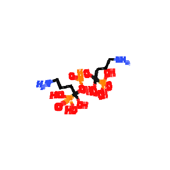 NCCCC(O)(O[PH](=O)OC(O)(CCCN)P(=O)(O)O)P(=O)(O)O